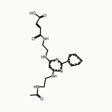 CC(=O)NCCNc1cc(NCCNC(=O)C=CC(=O)O)nc(-c2ccccc2)n1